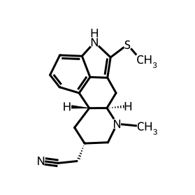 CSc1[nH]c2cccc3c2c1C[C@@H]1[C@@H]3C[C@@H](CC#N)CN1C